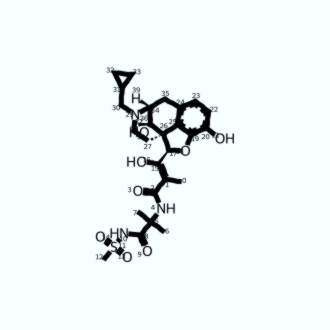 C/C(C(=O)NC(C)(C)C(=O)NS(C)(=O)=O)=C(/O)[C@@H]1Oc2c(O)ccc3c2[C@@]12CCN(CC1CC1)[C@H](C3)[C@@]2(C)O